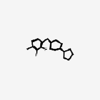 Cc1ccc(CC2CCC(C3CCCC3)CC2)c(F)c1F